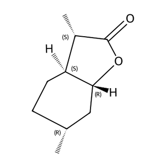 C[C@@H]1CC[C@H]2[C@H](C)C(=O)O[C@@H]2C1